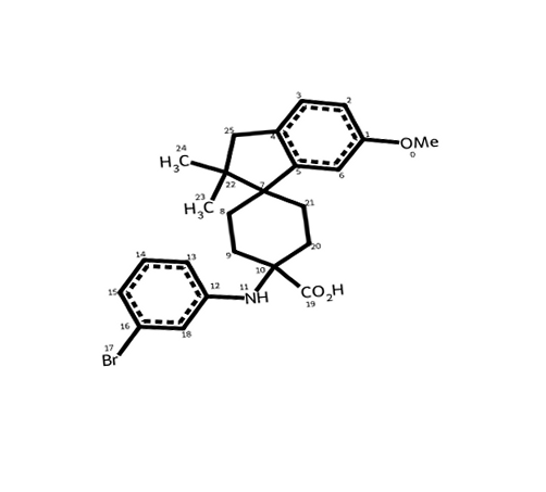 COc1ccc2c(c1)C1(CCC(Nc3cccc(Br)c3)(C(=O)O)CC1)C(C)(C)C2